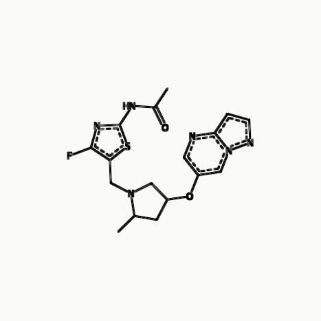 CC(=O)Nc1nc(F)c(CN2CC(Oc3cnc4ccnn4c3)CC2C)s1